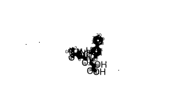 CN(C)C(=O)c1cc(C(=O)N[C@H](Cc2ccc(-c3ccccc3)cc2Cl)C[C@@H](O)C(=O)O)[nH]n1